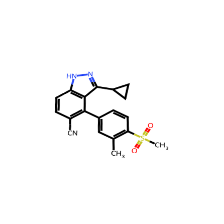 Cc1cc(-c2c(C#N)ccc3[nH]nc(C4CC4)c23)ccc1S(C)(=O)=O